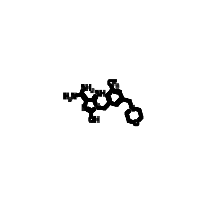 N=C1C(=C(N)N)N=C(O)N1Cc1cc(CN2CCOCC2)cc(C(F)(F)F)c1